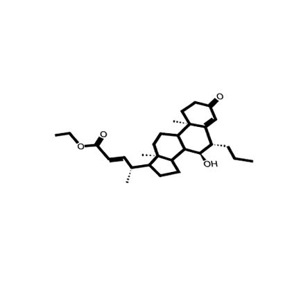 CCC[C@H]1C2=CC(=O)CC[C@]2(C)C2CC[C@@]3(C)C(CCC3[C@H](C)/C=C/C(=O)OCC)C2[C@@H]1O